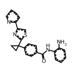 Nc1ccccc1NC(=O)c1ccc(C2(c3nc(-c4ccccn4)cs3)CC2)cc1